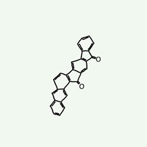 O=c1c2ccccc2c2cc3c(cc12)c(=O)c1c2cc4ccccc4cc2ccc31